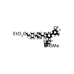 CCOC(=O)CCN1CCN(c2cnc(-c3nc4nc(-c5cc(F)cc(C(F)(F)F)c5)cc(N(C)CC5(COC)CCC5)c4[nH]3)cn2)CC1